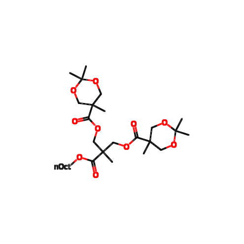 CCCCCCCCOC(=O)C(C)(COC(=O)C1(C)COC(C)(C)OC1)COC(=O)C1(C)COC(C)(C)OC1